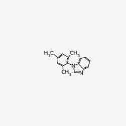 Cc1cc(C)c(-n2[c]nc3ccccc32)c(C)c1